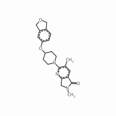 Cc1cc2c(nc1N1CCC(Oc3ccc4c(c3)COC4)CC1)CN(C)C2=O